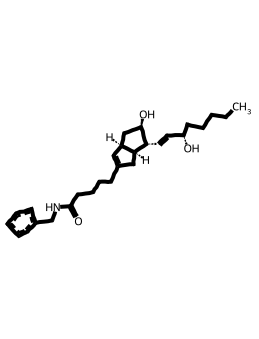 CCCCC[C@H](O)/C=C/[C@@H]1[C@H]2CC(CCCCC(=O)NCc3ccccc3)=C[C@H]2C[C@H]1O